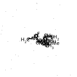 C=CCCOc1ccc(F)cc1CNC(=O)c1cn2c(N3CCC(C)(CCC=C)CC3)c([C@H](OC(C)(C)C)C(=O)OC)c(C)cc2n1